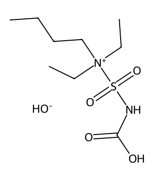 CCCC[N+](CC)(CC)S(=O)(=O)NC(=O)O.[OH-]